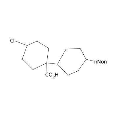 CCCCCCCCCC1CCC(C2(C(=O)O)CCC(Cl)CC2)CC1